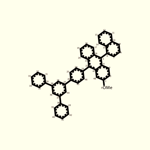 COc1ccc2c(-c3cccc4ccccc34)c3ccccc3c(-c3ccc(-c4cc(-c5ccccc5)cc(-c5ccccc5)c4)cc3)c2c1